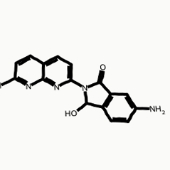 Nc1ccc2c(c1)C(=O)N(c1ccc3ccc(Cl)nc3n1)C2O